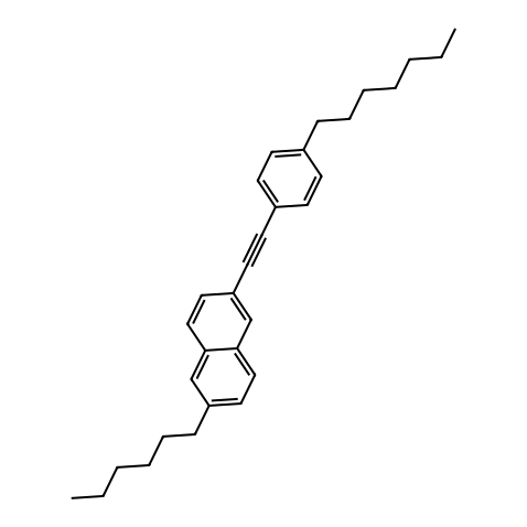 CCCCCCCc1ccc(C#Cc2ccc3cc(CCCCCC)ccc3c2)cc1